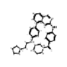 O=C(c1ccc(Nc2ncc3cccc(-c4ccc(NCCN5CCCC5)nc4)c3n2)cc1)N1CCOCC1